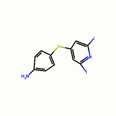 Nc1ccc(Sc2cc(I)nc(I)c2)cc1